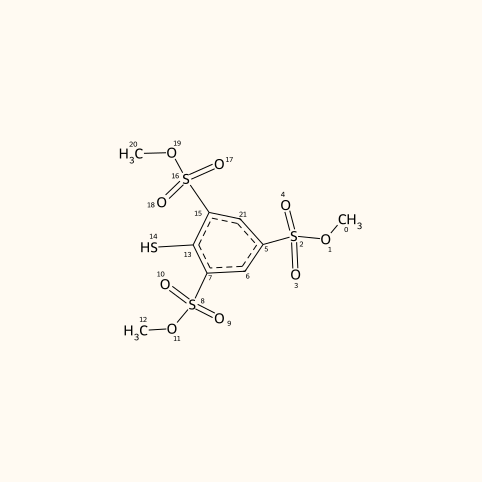 COS(=O)(=O)c1cc(S(=O)(=O)OC)c(S)c(S(=O)(=O)OC)c1